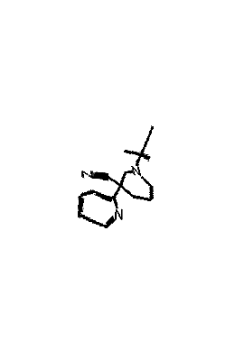 CC(C)(C)N1CCCC(C#N)(c2ccccn2)C1